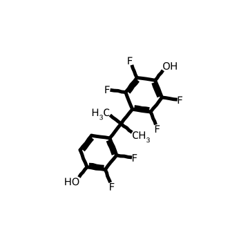 CC(C)(c1ccc(O)c(F)c1F)c1c(F)c(F)c(O)c(F)c1F